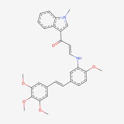 COc1ccc(C=Cc2cc(OC)c(OC)c(OC)c2)cc1NC=CC(=O)c1cn(C)c2ccccc12